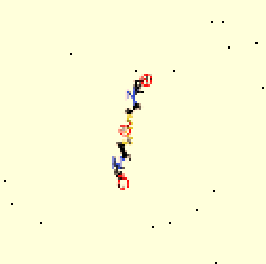 O=C=NCCSOSCCN=C=O